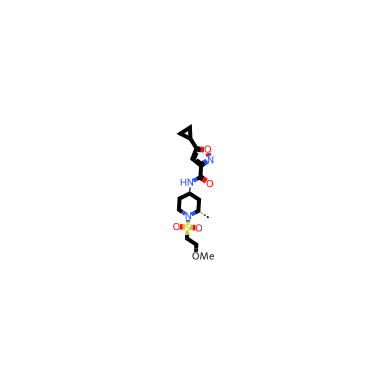 COCCS(=O)(=O)N1CC[C@H](NC(=O)c2cc(C3CC3)on2)C[C@@H]1C